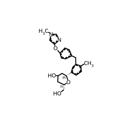 Cc1ccc([C@H]2CC(O)C[C@@H](CO)O2)cc1Cc1ccc(Oc2cn(C)cn2)cc1